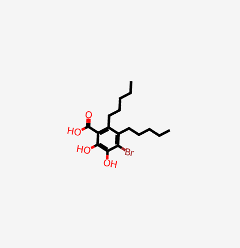 CCCCCc1c(Br)c(O)c(O)c(C(=O)O)c1CCCCC